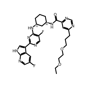 CCOCCOCCCc1cc(C(=O)N[C@@H]2CCC[C@H](Nc3nc(-c4c[nH]c5ncc(F)cc45)ncc3F)C2)ncn1